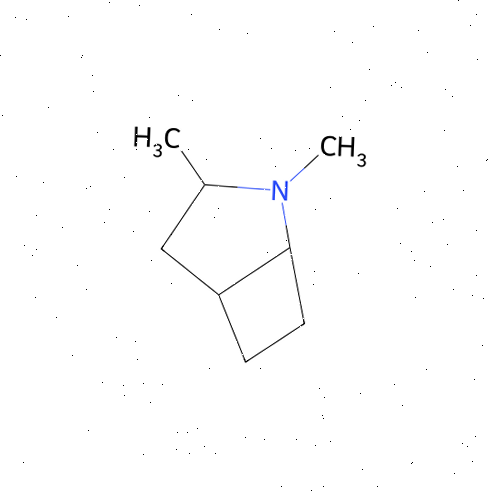 CC1CC2CCC2N1C